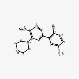 COc1ncc(-c2cc(N)cnc2Cl)cc1N1CCOCC1